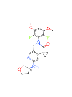 COc1cc(OC)c(F)c(N2Cc3cnc(N[C@H]4CCOC4)cc3C3(CC3)C2=O)c1F